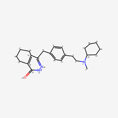 CN(CCc1ccc(Cc2n[nH]c(=O)c3c2CCCC3)cc1)C1CCCCC1